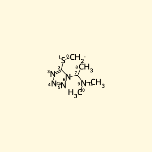 [CH2]Sc1nnnn1C(C)N(C)C